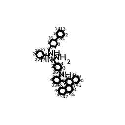 NC(NC(NCC1=CCC(c2ccccc2)C=C1)C1=CC=CCC1)c1ccc(Nc2ccccc2-c2cc3ccccc3c3ccc4ccccc4c23)cc1